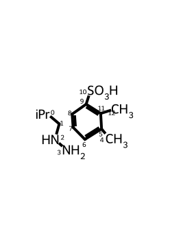 CC(C)CNN.Cc1cccc(S(=O)(=O)O)c1C